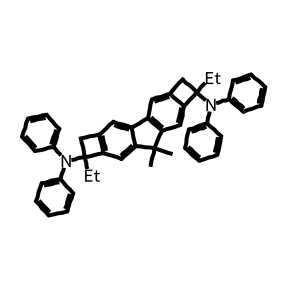 CCC1(N(c2ccccc2)c2ccccc2)Cc2cc3c(cc21)C(C)(C)c1cc2c(cc1-3)CC2(CC)N(c1ccccc1)c1ccccc1